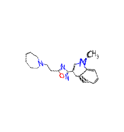 Cn1cc(-c2noc(CCN3CCCCCC3)n2)c2ccccc21